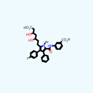 CC(C)n1c(CCC(O)CC(O)CC(=O)O)c(-c2ccc(F)cc2)c(-c2ccccc2)c1C(=O)Nc1cccc(C(=O)O)c1